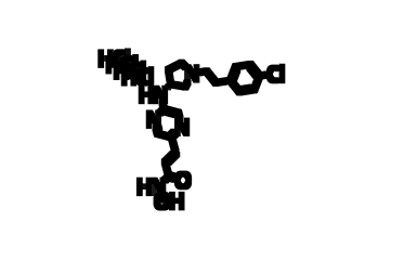 Cl.Cl.Cl.Cl.O=C(C=Cc1cnc(N[C@@H]2CCN(CCc3ccc(Cl)cc3)C2)cn1)NO